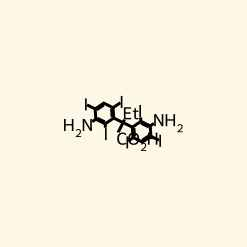 CCC(CC(=O)O)(c1c(I)cc(I)c(N)c1I)c1c(I)cc(I)c(N)c1I